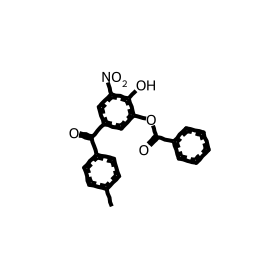 Cc1ccc(C(=O)c2cc(OC(=O)c3ccccc3)c(O)c([N+](=O)[O-])c2)cc1